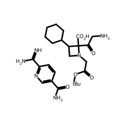 CC(C)(C)OC(=O)CN1CC(C2CCCCC2)C1(C(=O)O)C(=O)CN.N=C(N)c1ccc(C(N)=O)cn1